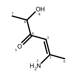 CC(N)=CC(=O)C(C)O